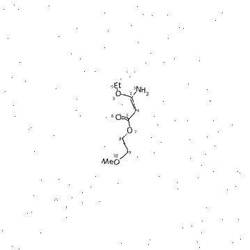 CCO/C(N)=C\C(=O)OCCOC